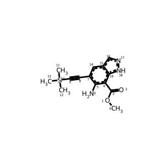 COC(=O)c1c(N)c(C#C[Si](C)(C)C)cc2cn[nH]c12